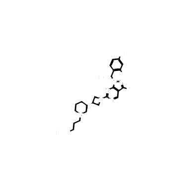 CC(=O)c1nn([C@H](C)c2ccc(Cl)cc2Cl)c2nc(N3CC([C@@H]4CCCN(CCCC(=O)O)C4)C3)ncc12